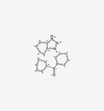 O=C(c1ccccc1)c1ccccc1.c1ccc2[nH]nnc2c1